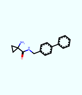 NC1(C(=O)NCc2ccc(-c3ccccc3)cc2)CC1